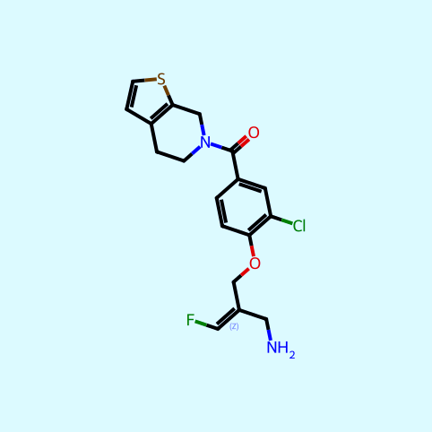 NC/C(=C/F)COc1ccc(C(=O)N2CCc3ccsc3C2)cc1Cl